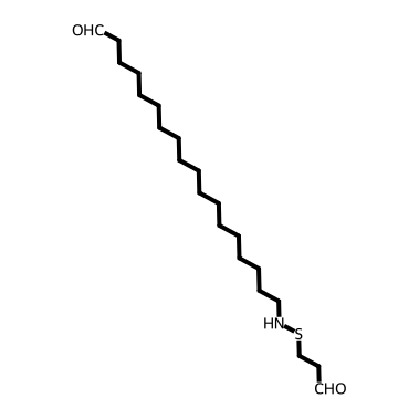 O=CCCCCCCCCCCCCCCCCCNSCCC=O